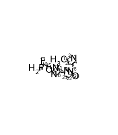 Cc1cncc(Cn2nc(-c3cnc(OCC(F)P)nc3)ccc2=O)c1